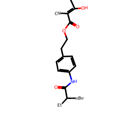 [C-]#[N+]/C(C(=O)OCCc1ccc(NC(=O)C(CC)CCCC)cc1)=C(\C)O